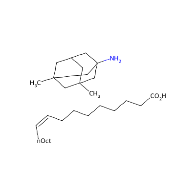 CC12CC3CC(C)(C1)CC(N)(C3)C2.CCCCCCCC/C=C\CCCCCCCC(=O)O